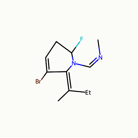 CC/C(C)=C1/C(Br)=CCC(F)N1/C=N\C